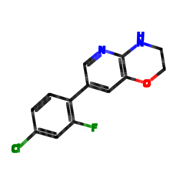 Fc1cc(Cl)ccc1-c1cnc2c(c1)OCCN2